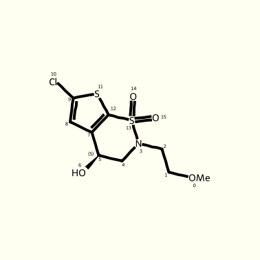 COCCN1C[C@@H](O)c2cc(Cl)sc2S1(=O)=O